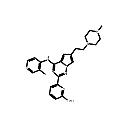 COc1cccc(-c2nc(Nc3ccncc3F)c3cc(CCN4CCN(C)CC4)cn3n2)n1